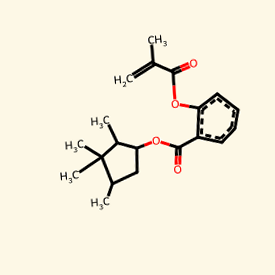 C=C(C)C(=O)Oc1ccccc1C(=O)OC1CC(C)C(C)(C)C1C